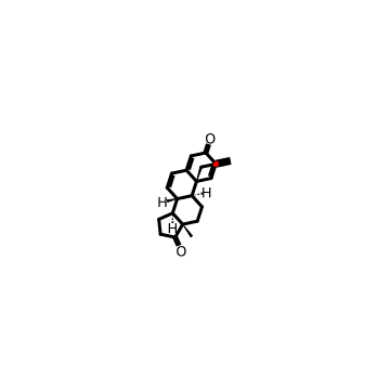 C#CC[C@]12C=CC(=O)C=C1C=C[C@H]1[C@@H]3CCC(=O)[C@@]3(C)CC[C@@H]12